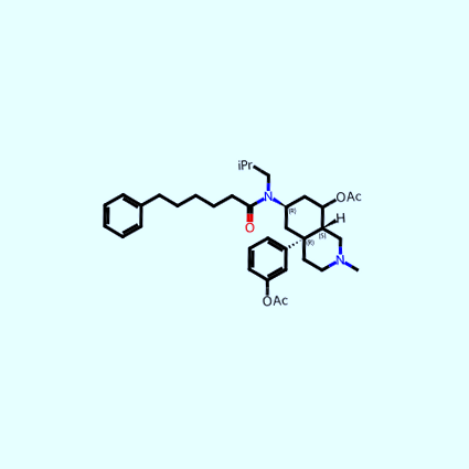 CC(=O)Oc1cccc([C@@]23CCN(C)C[C@H]2C(OC(C)=O)C[C@H](N(CC(C)C)C(=O)CCCCCc2ccccc2)C3)c1